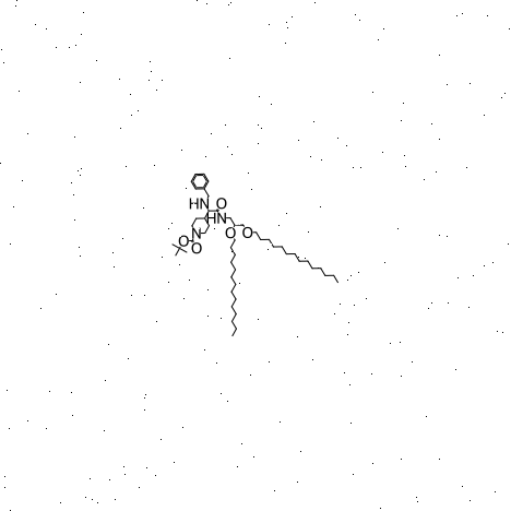 CCCCCCCCCCCCCCOC[C@H](CNC(=O)C(NCc1ccccc1)C1CCN(C(=O)OC(C)(C)C)CC1)OCCCCCCCCCCCCCC